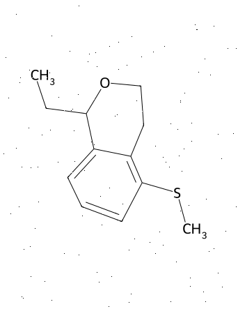 CCC1OCCc2c(SC)cccc21